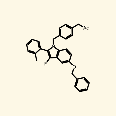 CC(=O)Cc1ccc(Cn2c(-c3ccccc3C)c(F)c3cc(OCc4ccccc4)ccc32)cc1